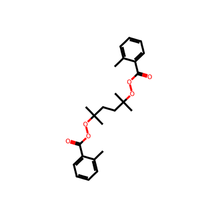 Cc1ccccc1C(=O)OOC(C)(C)CCC(C)(C)OOC(=O)c1ccccc1C